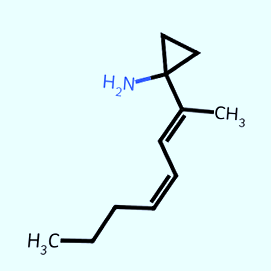 CCC/C=C\C=C(/C)C1(N)CC1